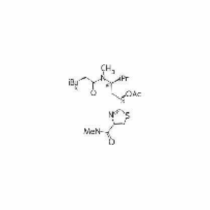 CC[C@H](C)CC(=O)N(C)[C@H](C[C@@H](OC(C)=O)c1nc(C(=O)NC)cs1)C(C)C